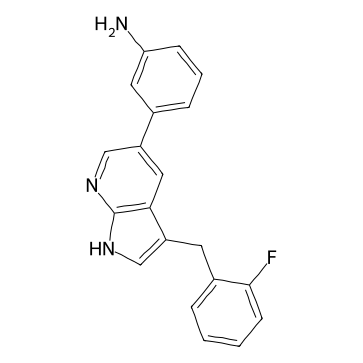 Nc1cccc(-c2cnc3[nH]cc(Cc4ccccc4F)c3c2)c1